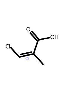 C/C(=C/Cl)C(=O)O